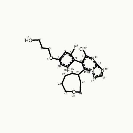 OCCCOc1cc(F)c(-c2c(Cl)nc3ncnn3c2C2CCCCCCC2)c(F)c1